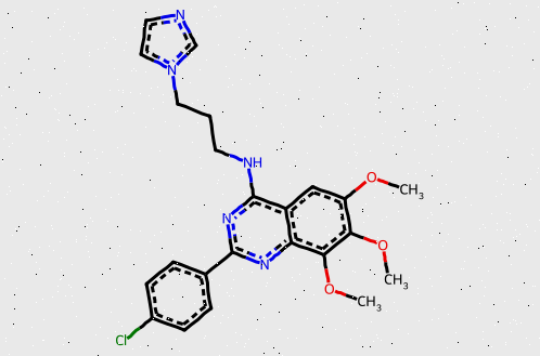 COc1cc2c(NCCCn3ccnc3)nc(-c3ccc(Cl)cc3)nc2c(OC)c1OC